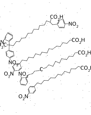 O=C(O)C(CCCCCCCCCCCCC(C(=O)O)(c1ccc([N+](=O)[O-])cc1)c1ccccc1[N+](=O)[O-])Cc1ccc([N+](=O)[O-])cc1.O=C(O)CCCCCCCCCCCCCCCc1ccc([N+](=O)[O-])cc1.O=C(O)CCCCCCCCCCCCCCCc1ccccc1[N+](=O)[O-].O=C(O)CCCCCCCCCCCCCc1ccc([N+](=O)[O-])cc1